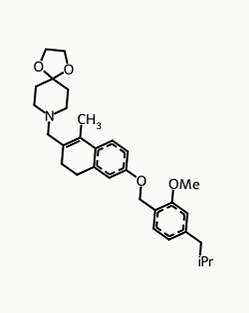 COc1cc(CC(C)C)ccc1COc1ccc2c(c1)CCC(CN1CCC3(CC1)OCCO3)=C2C